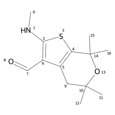 CNc1sc2c(c1C=O)CC(C)(C)OC2(C)C